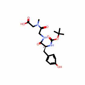 CN(CC(=O)O)C(=O)CNC(=O)[C@H](Cc1ccc(O)cc1)NC(=O)OC(C)(C)C